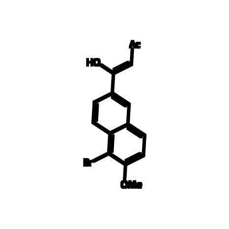 COc1ccc2cc(C(O)=CC(C)=O)ccc2c1Br